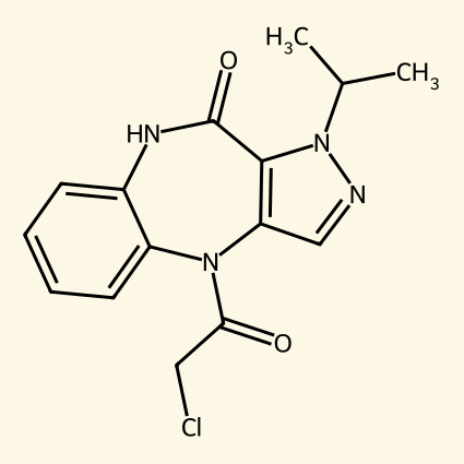 CC(C)n1ncc2c1C(=O)Nc1ccccc1N2C(=O)CCl